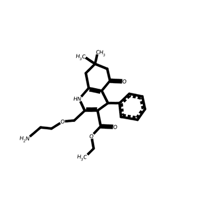 CCOC(=O)C1=C(COCCN)NC2=C(C(=O)CC(C)(C)C2)C1c1ccccc1